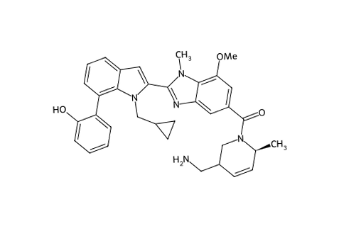 COc1cc(C(=O)N2CC(CN)C=C[C@@H]2C)cc2nc(-c3cc4cccc(-c5ccccc5O)c4n3CC3CC3)n(C)c12